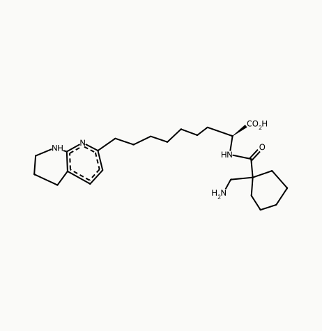 NCC1(C(=O)N[C@@H](CCCCCCCc2ccc3c(n2)NCCC3)C(=O)O)CCCCC1